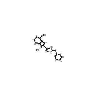 Cn1c(C2=N[C@@H](Cc3ccccc3)CO2)cc2c(O)cccc21